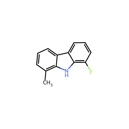 Cc1cccc2c1[nH]c1c(F)cccc12